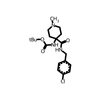 CN1CCC(NC(=O)OC(C)(C)C)(C(=O)NCc2ccc(Cl)cc2)CC1